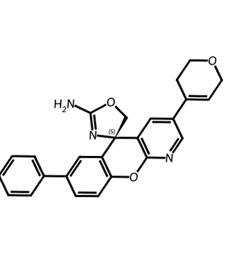 NC1=N[C@@]2(CO1)c1cc(-c3ccccc3)ccc1Oc1ncc(C3=CCOCC3)cc12